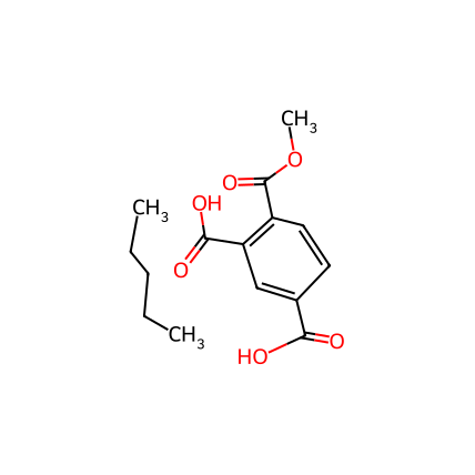 CCCCC.COC(=O)c1ccc(C(=O)O)cc1C(=O)O